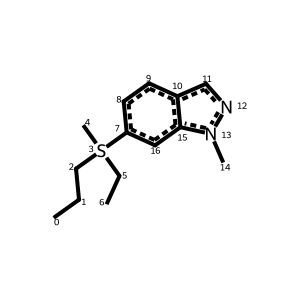 CCCS(C)(CC)c1ccc2cnn(C)c2c1